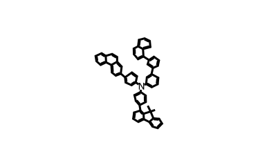 CC1(C)c2ccccc2-c2cccc(-c3ccc(N(c4ccc(-c5ccc6c(ccc7ccccc76)c5)cc4)c4cccc(-c5cccc(-c6cccc7ccccc67)c5)c4)cc3)c21